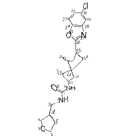 O=C(NCC1CCOC1)NC1CC2(C1)CC(c1nc3cc(Cl)ccc3o1)C2